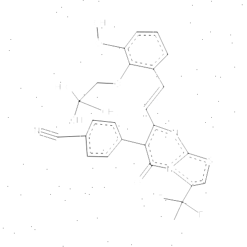 COc1cccc(/C=C/c2nc3scc(C(F)(F)F)n3c(=O)c2-c2ccc(C#N)cc2)c1OCC(C)(C)C